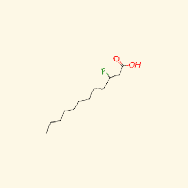 CCCCCCCCCC(F)CC(=O)O